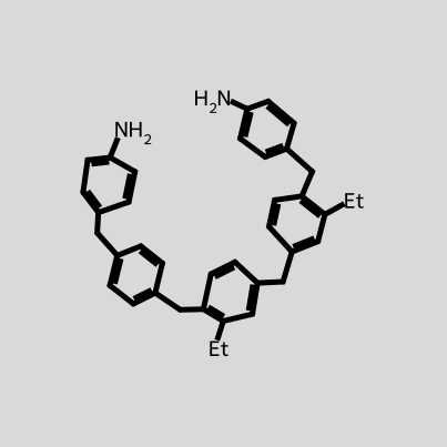 CCc1cc(Cc2ccc(Cc3ccc(Cc4ccc(N)cc4)cc3)c(CC)c2)ccc1Cc1ccc(N)cc1